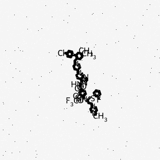 CN1CCN(CCC(CSc2ccccc2F)Nc2ccc(S(=O)(=O)Nc3ncnc4c3CCN(C3CCN(CC5=C(c6ccc(Cl)cc6)CC(C)(C)CC5)CC3)C4)cc2S(=O)(=O)C(F)(F)F)CC1